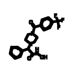 O=C(NO)C(c1ccccc1)N1CCN(C(=O)c2ccc(C(F)(F)F)cc2)CC1